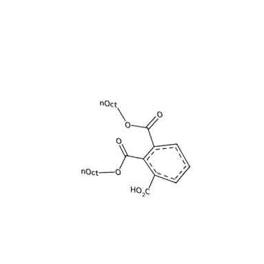 CCCCCCCCOC(=O)c1cccc(C(=O)O)c1C(=O)OCCCCCCCC